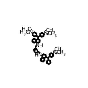 CCN(CC)c1ccc(C(=C2C=CCC=C2)c2ccc(NCC3CC4CC(CNc5ccc(C(=C6C=CC(=[N+](CC)CC)C=C6)c6ccc(N(CC)CC)cc6)c6ccccc56)C3C4)c3ccccc23)cc1